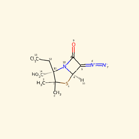 CC1(C)S[C@@H]2C(=[N+]=[N-])C(=O)N2[C@@]1(CC(Cl)(Cl)Cl)C(=O)O